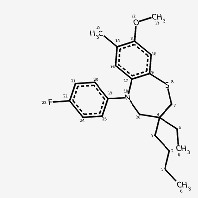 CCCCC1(CC)CSc2cc(OC)c(C)cc2N(c2ccc(F)cc2)C1